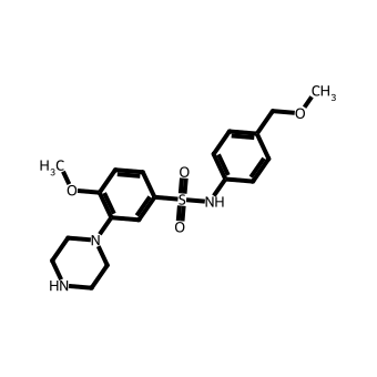 COCc1ccc(NS(=O)(=O)c2ccc(OC)c(N3CCNCC3)c2)cc1